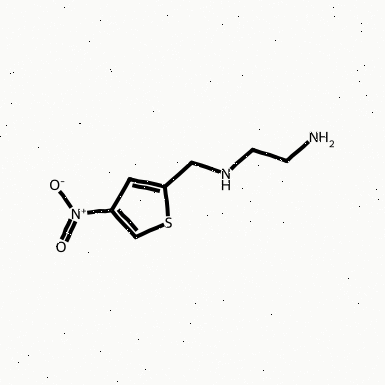 NCCNCc1cc([N+](=O)[O-])cs1